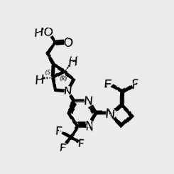 O=C(O)CC1[C@H]2CN(c3cc(C(F)(F)F)nc(N4CCC4C(F)F)n3)C[C@@H]12